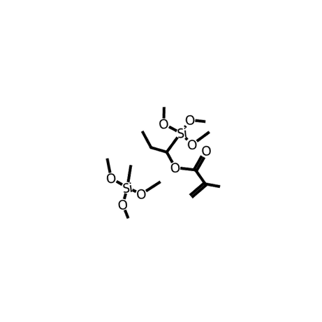 C=C(C)C(=O)OC(CC)[Si](OC)(OC)OC.CO[Si](C)(OC)OC